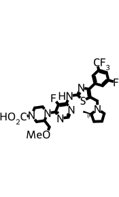 COCC1CN(C(=O)O)CCN1c1ncnc(Nc2nc(-c3cc(F)cc(C(F)(F)F)c3)c(CN3CCC[C@H]3C)s2)c1F